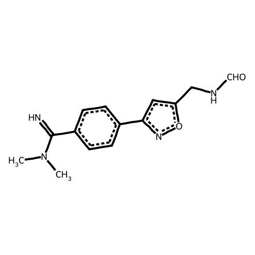 CN(C)C(=N)c1ccc(-c2cc(CNC=O)on2)cc1